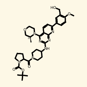 COc1ccc(-c2ccc3c(N4CCOC[C@@H]4C)nc(NC4CCN(C(=O)C5CCCN5C(=O)OC(C)(C)C)CC4)nc3n2)cc1CO